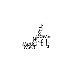 COc1cc2c(cc1OCc1ccc(F)cc1)CC[n+]1cc3c(OC)c(OC)ccc3c(CC=C(C)C)c1-2